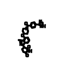 Cn1nc(C2CCC(=O)NC2=O)c2cccc(OC3CCN(C(=O)c4ccc(-c5ncc[nH]5)cc4)CC3)c21